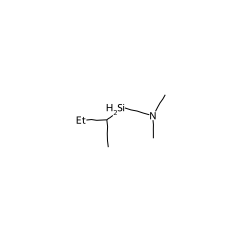 CCC(C)[SiH2]N(C)C